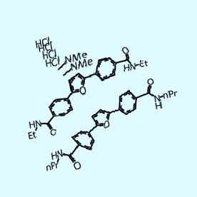 CCCNC(=O)c1ccc(-c2ccc(-c3ccc(C(=O)NCCC)cc3)o2)cc1.CCNC(=O)c1ccc(-c2ccc(-c3ccc(C(=O)NCC)cc3)o2)cc1.CNC.CNC.Cl.Cl.Cl.Cl